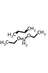 C=CC=C.CCO[SiH2]OCC